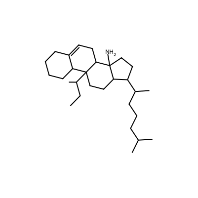 CCC(C)C12CCC3C(C(C)CCCC(C)C)CCC3(N)C1CC=C1CCCCC12